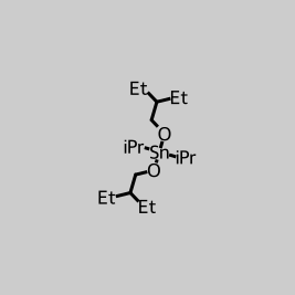 CCC(CC)C[O][Sn]([O]CC(CC)CC)([CH](C)C)[CH](C)C